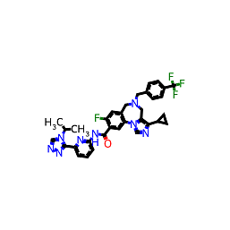 CC(C)n1cnnc1-c1cccc(NC(=O)c2cc3c(cc2F)CN(Cc2ccc(C(F)(F)F)cc2)Cc2c(C4CC4)ncn2-3)n1